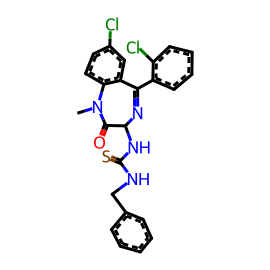 CN1C(=O)C(NC(=S)NCc2ccccc2)N=C(c2ccccc2Cl)c2cc(Cl)ccc21